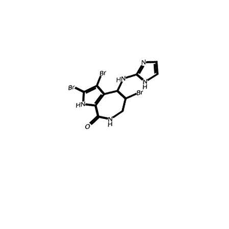 O=C1NCC(Br)C(Nc2ncc[nH]2)c2c1[nH]c(Br)c2Br